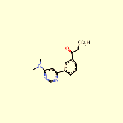 CN(C)c1cc(-c2cccc(C(=O)CC(=O)O)c2)ncn1